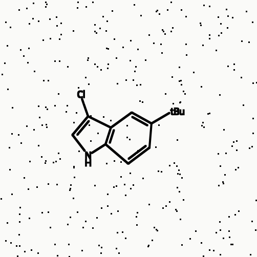 CC(C)(C)c1ccc2[nH]cc(Cl)c2c1